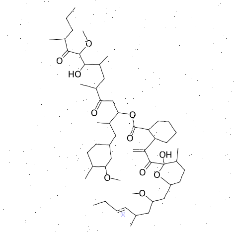 C=C(C(=O)C1(O)OC(CC(CC(C)/C=C/CC)OC)CCC1C)C1CCCCC1C(=O)OC(CC(=O)C(C)CC(C)C(O)C(OC)C(=O)C(C)CCC)C(C)CC1CCC(C)C(OC)C1